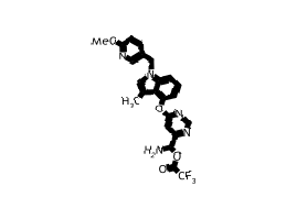 COc1ccc(Cn2cc(C)c3c(Oc4cc(C(N)OC(=O)C(F)(F)F)ncn4)cccc32)cn1